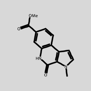 COC(=O)c1ccc2c(c1)[nH]c(=O)c1c2ccn1C